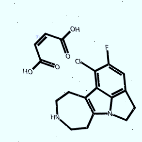 Fc1cc2c3c(c1Cl)c1c(n3CC2)CCNCC1.O=C(O)/C=C\C(=O)O